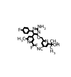 Cc1cc(-c2c(OCc3cc(C#N)cc(C(C)(C)O)n3)nc(N)nc2-c2ccc(F)cc2)cc(C(F)F)n1